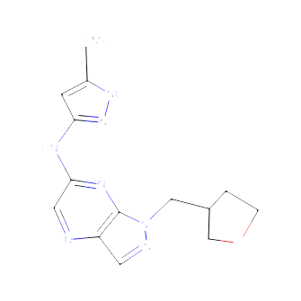 COc1cc(Nc2cnc3cnn(CC4CCOC4)c3n2)n[nH]1